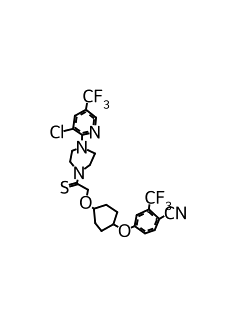 N#Cc1ccc(OC2CCC(OCC(=S)N3CCN(c4ncc(C(F)(F)F)cc4Cl)CC3)CC2)cc1C(F)(F)F